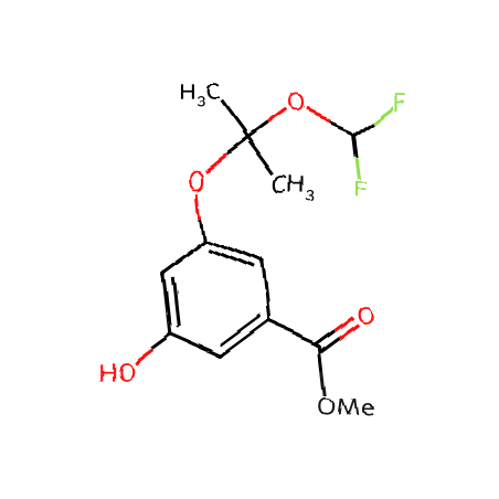 COC(=O)c1cc(O)cc(OC(C)(C)OC(F)F)c1